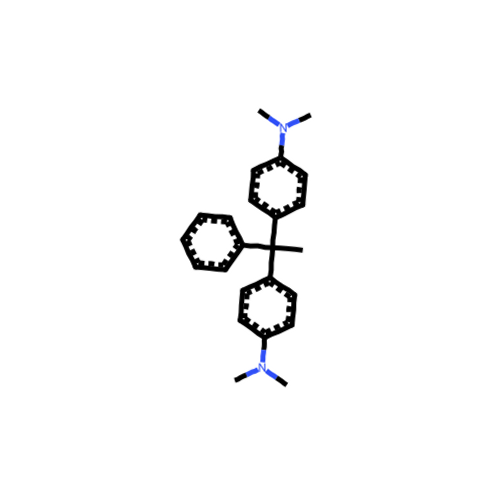 CN(C)c1ccc(C(C)(c2ccccc2)c2ccc(N(C)C)cc2)cc1